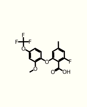 COc1cc(OC(F)(F)F)ccc1Oc1cc(C)cc(F)c1C(=O)O